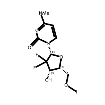 CNc1ccn([C@@H]2O[C@H](COI)[C@H](O)C2(F)F)c(=O)n1